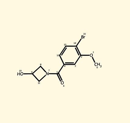 COc1cc(C(=O)N2CC(O)C2)ccc1Br